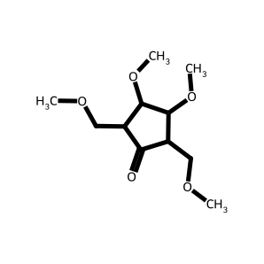 COCC1C(=O)C(COC)C(OC)C1OC